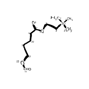 C[Si](C)(C)CCOC(=O)CCCCOC=O